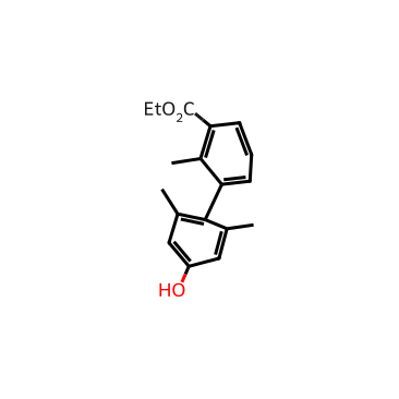 CCOC(=O)c1cccc(-c2c(C)cc(O)cc2C)c1C